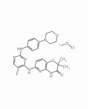 CCOC[C@@H]1CN(c2ccc(Nc3ncc(F)c(Nc4ccc5c(n4)NC(=O)C(C)(C)O5)n3)cc2)CCO1